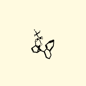 CC12CCC(C(C3=CCCc4ccccc43)=C1OS(=O)(=O)C(F)(F)F)C2(C)C